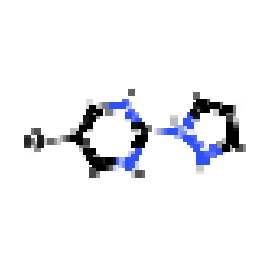 FC(F)(F)c1cnc(-n2cccn2)nc1